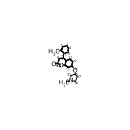 Cc1ccccc1-c1cc(=O)oc2cc(O[C@H]3CCN(C)C3)ccc12